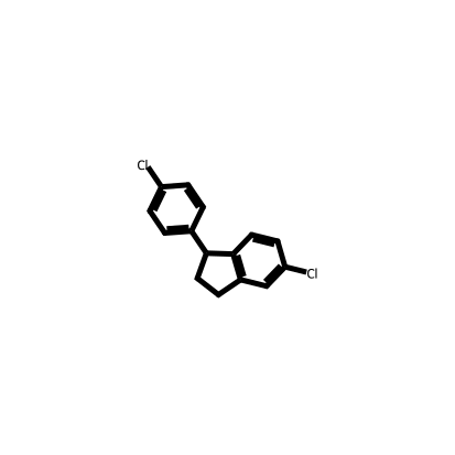 Clc1ccc(C2CCc3cc(Cl)ccc32)cc1